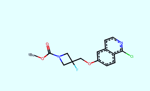 CC(C)(C)OC(=O)N1CC(F)(COc2ccc3c(Cl)nccc3c2)C1